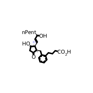 CCCCC[C@H](O)/C=C/[C@@H]1[C@H](O)CC(=O)[C@@H]1Cc1ccccc1CCCC(=O)O